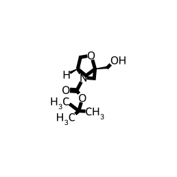 CC(C)(C)OC(=O)N1C[C@]2(CO)C[C@H]1CO2